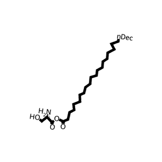 CCCCCCCCCCCCCCCCCCCCCCCCCCCCCC(=O)OC(=O)[C@@H](N)CO